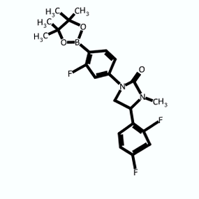 CN1C(=O)N(c2ccc(B3OC(C)(C)C(C)(C)O3)c(F)c2)CC1c1ccc(F)cc1F